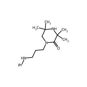 CC(C)NCCCN1CC(C)(C)NC(C)(C)C1=O